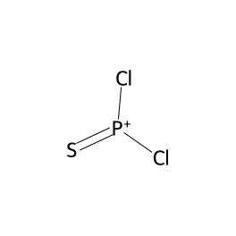 S=[P+](Cl)Cl